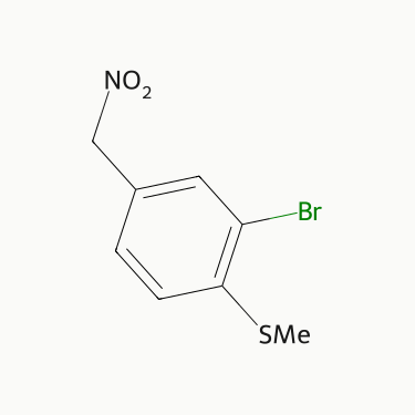 CSc1ccc(C[N+](=O)[O-])cc1Br